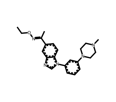 CCON=C(C)c1ccc2c(c1)ncn2-c1cccc(N2CCN(C)CC2)c1